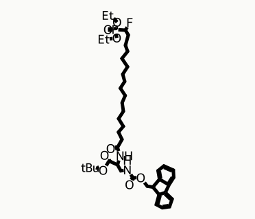 CCOP(=O)(OCC)C(F)CCCCCCCCCCCCCCCC(=O)NC(CNC(=O)OCC1c2ccccc2-c2ccccc21)C(=O)OC(C)(C)C